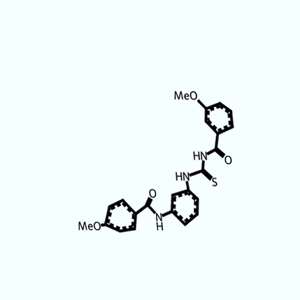 COc1ccc(C(=O)Nc2cccc(NC(=S)NC(=O)c3cccc(OC)c3)c2)cc1